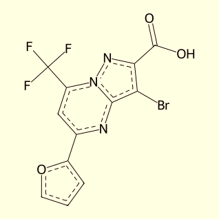 O=C(O)c1nn2c(C(F)(F)F)cc(-c3ccco3)nc2c1Br